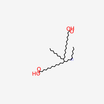 CCCCC/C=C\CCC(CCCCCCCCCCCC(=O)O)C(CCCCCCCC)CCCCCCCCCCCCC(=O)O